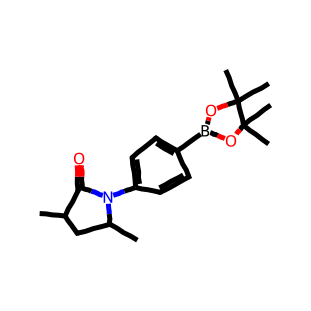 CC1CC(C)N(c2ccc(B3OC(C)(C)C(C)(C)O3)cc2)C1=O